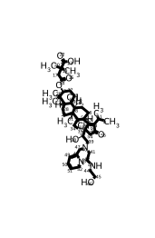 CC(C)C1=C2[C@H]3CC[C@@H]4[C@@]5(C)CC[C@H](OC(=O)CC(C)(C)C(=O)O)C(C)(C)[C@H]5CC[C@@]4(C)[C@]3(C)CC[C@@]2([C@@H](O)CN(CCNCCO)Cc2ccccn2)CC1=O